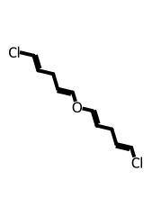 ClC=CCC=COC=CCC=CCl